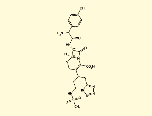 CS(=O)(=O)NCCC(Sc1nnn[nH]1)C1=C(C(=O)O)N2C(=O)[C@@H](NC(=O)C(N)c3ccc(O)cc3)[C@@H]2SC1